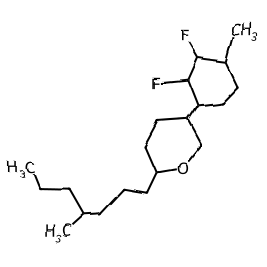 CCCC(C)CCCC1CCC(C2CCC(C)C(F)C2F)CO1